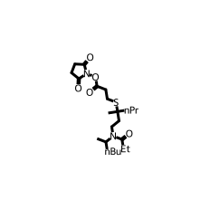 CCCCC(C)N(CCC(C)(CCC)SCCC(=O)ON1C(=O)CCC1=O)C(=O)CC